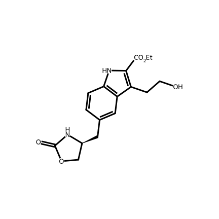 CCOC(=O)c1[nH]c2ccc(C[C@H]3COC(=O)N3)cc2c1CCO